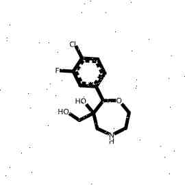 OCC1(O)CNCCOC1c1ccc(Cl)c(F)c1